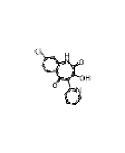 O=c1[nH]c2cc(Cl)ccc2c(=O)c(-c2ccccn2)c1O